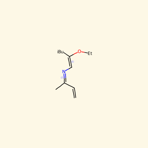 C=C/C(C)=N\C=C(\OCC)C(C)CC